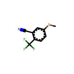 CSc1ccc(C(F)(F)F)c(C#N)c1